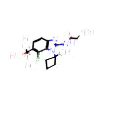 CC(C)(C)CC(=O)Nc1nc2ccc(C(C)(C)O)c(F)c2n1C1(C)CCC1